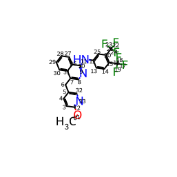 COc1ccc(Cc2cnc(Nc3ccc(C(F)(F)F)c(C(F)(F)F)c3)c3ccccc23)cn1